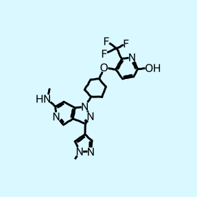 CNc1cc2c(cn1)c(-c1cnn(C)c1)nn2C1CCC(Oc2ccc(O)nc2C(F)(F)F)CC1